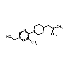 Cc1cc(CO)cnc1N1CCC(CN(C)C)CC1